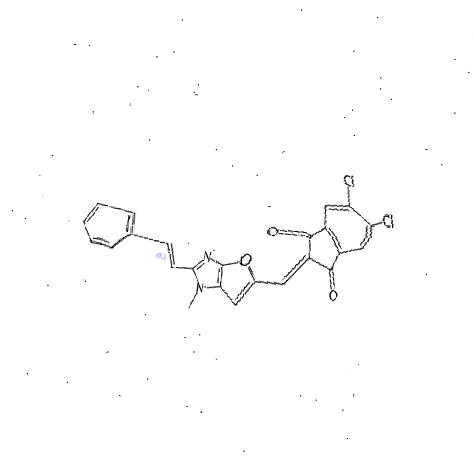 Cn1c(/C=C/c2ccccc2)nc2oc(C=C3C(=O)c4cc(Cl)c(Cl)cc4C3=O)cc21